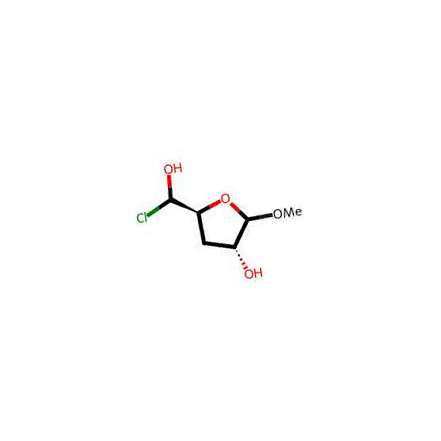 COC1O[C@H](C(O)Cl)C[C@H]1O